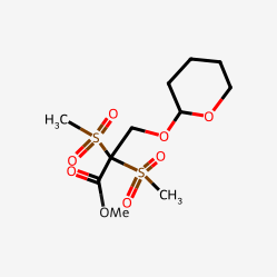 COC(=O)C(COC1CCCCO1)(S(C)(=O)=O)S(C)(=O)=O